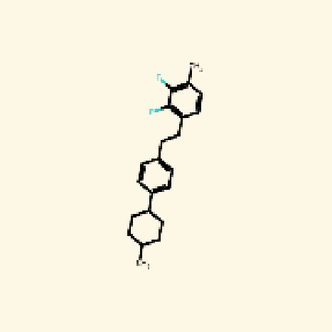 Cc1ccc(CCc2ccc(C3CCC(C)CC3)cc2)c(F)c1F